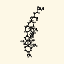 C[C@@H]1CC[C@@]2(OC1)O[C@H]1CC3C4CC=C5C[C@@H](OC(=O)CCC(=O)O)CC[C@]5(C)C4CC[C@]3(C)[C@H]1[C@@H]2C